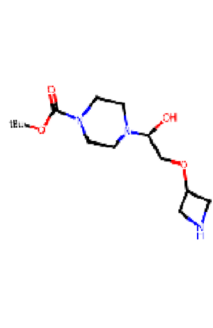 CC(C)(C)OC(=O)N1CCN(C(O)COC2CNC2)CC1